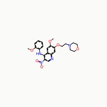 COc1ccccc1Nc1c([N+](=O)[O-])cnc2cc(OCCN3CCOCC3)c(OC)cc12